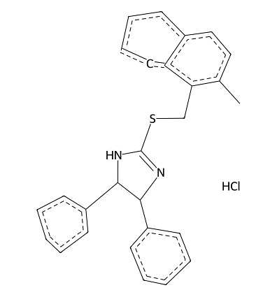 Cc1ccc2ccccc2c1CSC1=NC(c2ccccc2)C(c2ccccc2)N1.Cl